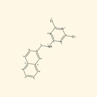 Clc1nc(Cl)nc(NCc2ccc3ccccc3c2)n1